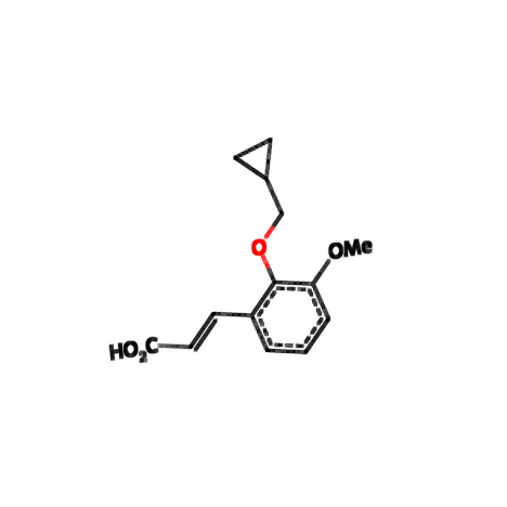 COc1cccc(/C=C/C(=O)O)c1OCC1CC1